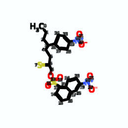 CCCC(CCC(=S)COS(=O)(=O)c1cccc2cc([N+](=O)[O-])ccc12)c1ccc([N+](=O)[O-])cc1